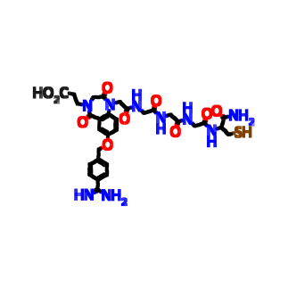 N=C(N)c1ccc(COc2ccc3c(c2)C(=O)N(CCC(=O)O)CC(=O)N3CC(=O)NCC(=O)NCC(=O)NCC(=O)NC(CS)C(N)=O)cc1